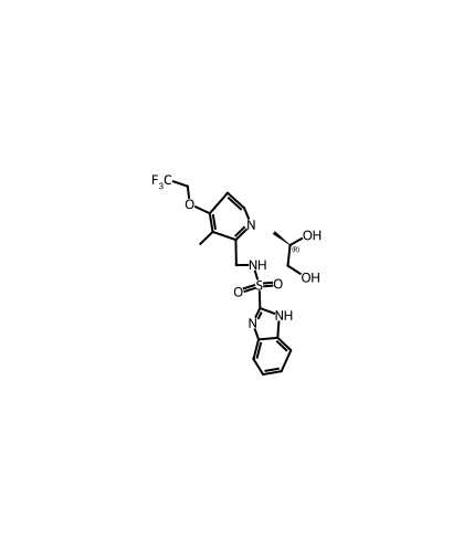 C[C@@H](O)CO.Cc1c(OCC(F)(F)F)ccnc1CNS(=O)(=O)c1nc2ccccc2[nH]1